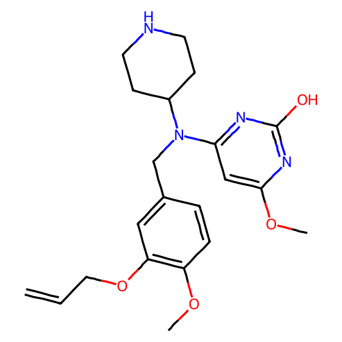 C=CCOc1cc(CN(c2cc(OC)nc(O)n2)C2CCNCC2)ccc1OC